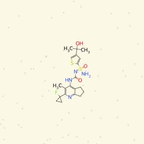 Cc1c(C2(F)CC2)nc2c(c1NC(=O)N=[S@](N)(=O)c1cc(C(C)(C)O)cs1)CCC2